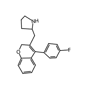 Fc1ccc(C2=C(CC3CCCN3)COc3ccccc32)cc1